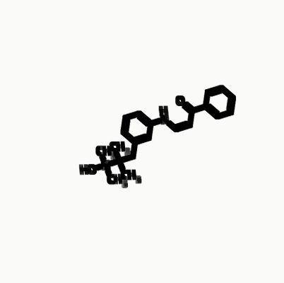 CC(C)(Cc1cccc(N/C=C\C(=O)c2ccccc2)c1)[Si](C)(C)O